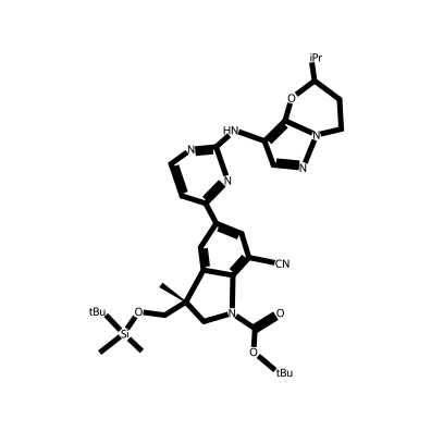 CC(C)C1CCn2ncc(Nc3nccc(-c4cc(C#N)c5c(c4)[C@@](C)(CO[Si](C)(C)C(C)(C)C)CN5C(=O)OC(C)(C)C)n3)c2O1